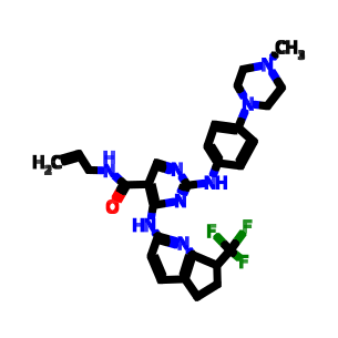 C=CCNC(=O)c1cnc(Nc2ccc(N3CCN(C)CC3)cc2)nc1Nc1ccc2c(n1)C(C(F)(F)F)CC2